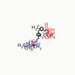 Cc1ccc([C@@H]2O[C@H](C(C)(C)O)[C@@H](O)[C@H](O)[C@H]2O)cc1Cc1ccc(CCCC(=O)NC(C)(C)C(=O)NCCN(C)C)cc1